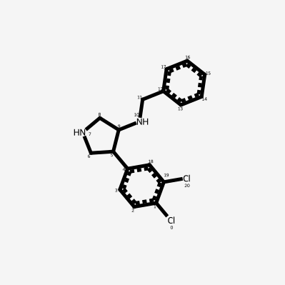 Clc1ccc(C2CNCC2NCc2ccccc2)cc1Cl